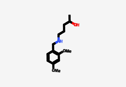 COc1ccc(CNCCCC(C)O)c(OC)c1